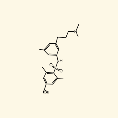 Cc1cc(CCCN(C)C)cc(NS(=O)(=O)c2c(C)cc(C(C)(C)C)cc2C)c1